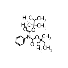 CCC(C)(C)OC(=O)N(C(=O)OC(C)(C)C(C)C)c1ccccc1